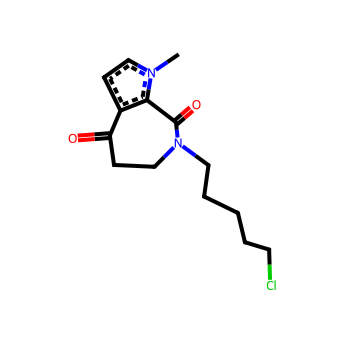 Cn1ccc2c1C(=O)N(CCCCCCl)CCC2=O